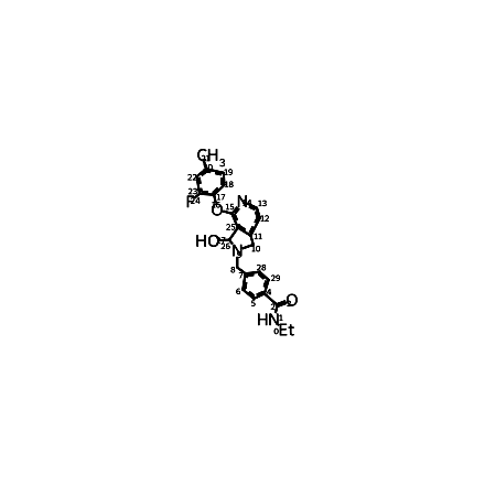 CCNC(=O)c1ccc(CN2Cc3ccnc(Oc4ccc(C)cc4F)c3C2O)cc1